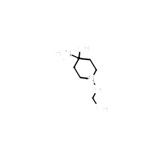 CCON1CCC(N)(O)CC1